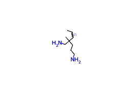 C/C=C\C(C)(CN)CCCN